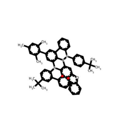 Cc1cc(C)c(-c2cc3c4c(c2)N(c2ccc(C(C)(C)C)cc2-c2ccccc2)c2cc5c(cc2B4N(c2ccc(C(C)(C)C)cc2)c2ccccc2-3)oc2ccccc25)c(C)c1